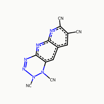 N#Cc1cc2cc3c(nc2nc1C#N)N=NN(C#N)N3C#N